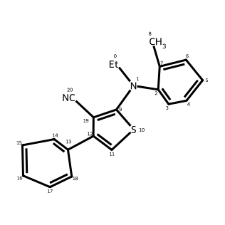 CCN(c1ccccc1C)c1scc(-c2ccccc2)c1C#N